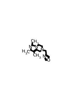 CC1=N[C@@H](C)C(C)=C2CN(Cc3cocn3)CCN12